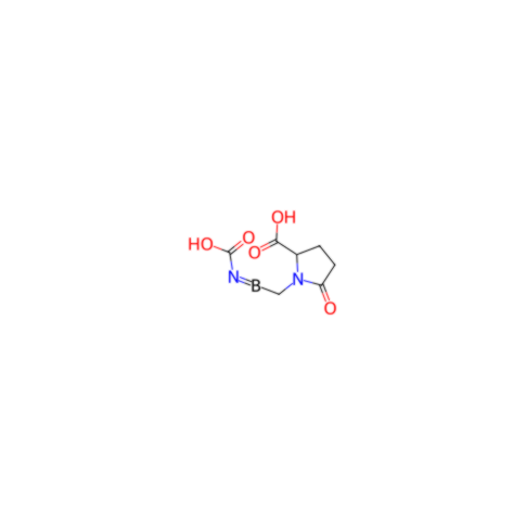 O=C(O)N=BCN1C(=O)CCC1C(=O)O